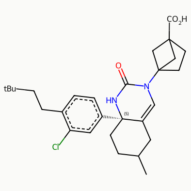 CC1CC[C@@]2(c3ccc(CCC(C)(C)C)c(Cl)c3)NC(=O)N(C34CCC(C(=O)O)(C3)C4)C=C2C1